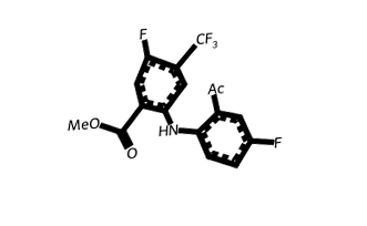 COC(=O)c1cc(F)c(C(F)(F)F)cc1Nc1ccc(F)cc1C(C)=O